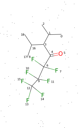 CC(C)C(C(=O)C(F)(F)C(F)(F)C(F)(F)F)C(C)C